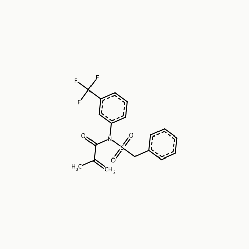 C=C(C)C(=O)N(c1cccc(C(F)(F)F)c1)S(=O)(=O)Cc1ccccc1